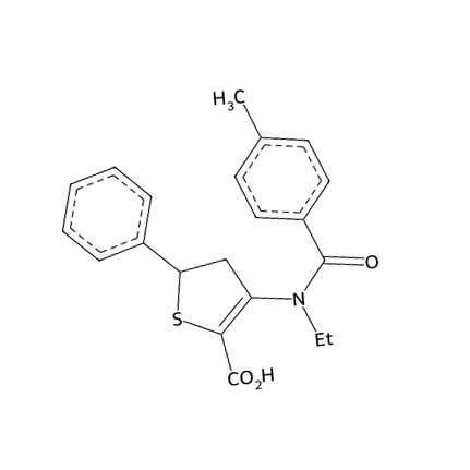 CCN(C(=O)c1ccc(C)cc1)C1=C(C(=O)O)SC(c2ccccc2)C1